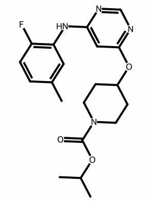 Cc1ccc(F)c(Nc2cc(OC3CCN(C(=O)OC(C)C)CC3)ncn2)c1